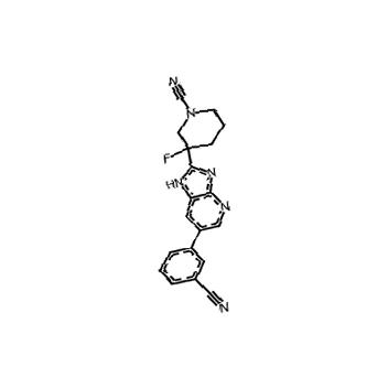 N#Cc1cccc(-c2cnc3nc(C4(F)CCCN(C#N)C4)[nH]c3c2)c1